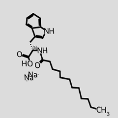 CCCCCCCCCCCC(=O)N[C@@H](Cc1c[nH]c2ccccc12)C(=O)O.[Na].[Na]